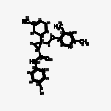 Cc1ncc(OC[C@@]2(C3C=CC=C(C#N)C3)C[C@H]2C(=O)Nc2ccc(F)cn2)c(C)n1